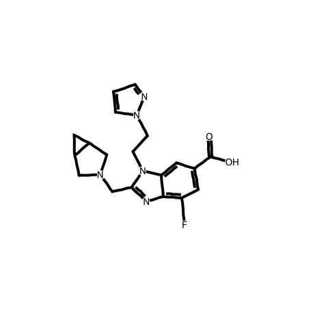 O=C(O)c1cc(F)c2nc(CN3CC4CC4C3)n(CCn3cccn3)c2c1